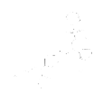 CCCCN(C(=O)OC)C1CCN(CCC(CN(C)S(=O)(=O)c2ccccc2)c2ccccc2)CC1.Cl